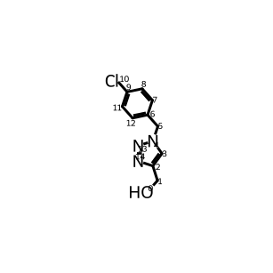 OCc1cn(Cc2ccc(Cl)cc2)nn1